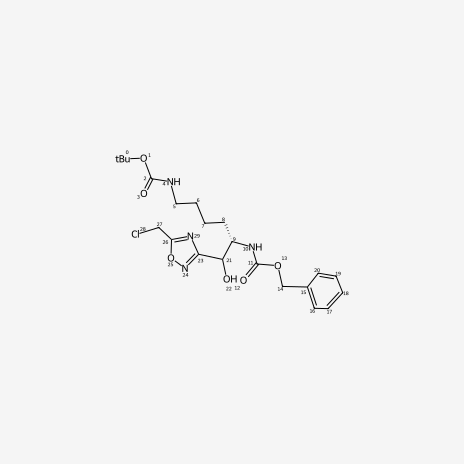 CC(C)(C)OC(=O)NCCCC[C@H](NC(=O)OCc1ccccc1)C(O)c1noc(CCl)n1